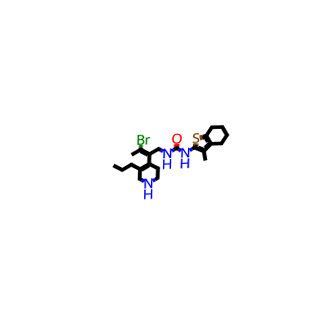 CCCC1=C(/C(CNC(=O)Nc2sc3c(c2C)CCCC3)=C(\C)Br)CCNC1